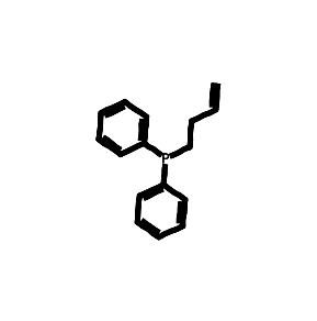 C=CCCP(c1ccccc1)c1ccccc1